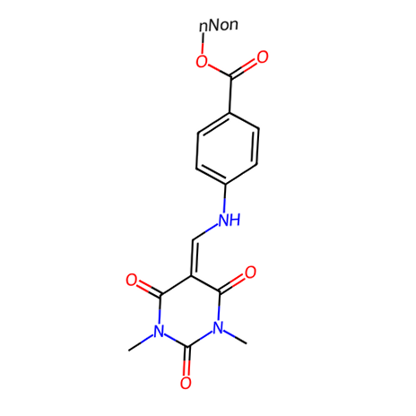 CCCCCCCCCOC(=O)c1ccc(NC=C2C(=O)N(C)C(=O)N(C)C2=O)cc1